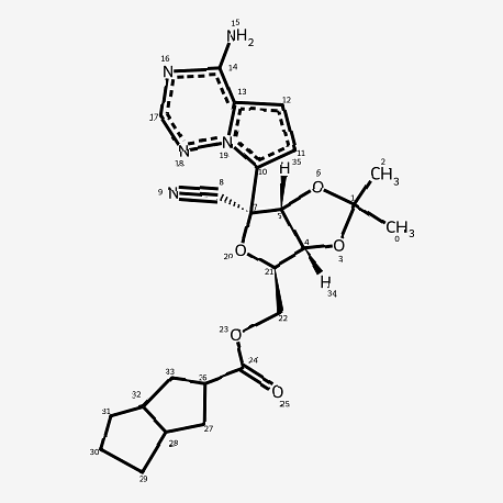 CC1(C)O[C@H]2[C@@H](O1)[C@](C#N)(c1ccc3c(N)ncnn13)O[C@@H]2COC(=O)C1CC2CCCC2C1